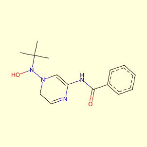 CC(C)(C)N(O)N1C=C(NC(=O)c2ccccc2)N=CC1